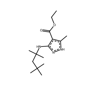 CCOC(=O)c1c(NC(C)(C)CC(C)(C)C)n[nH]c1C